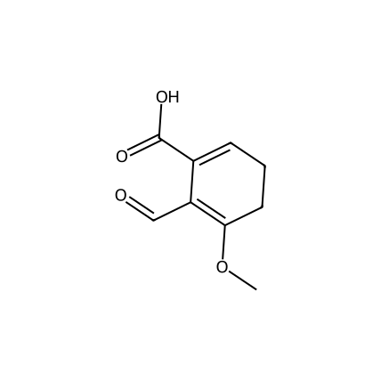 COC1=C(C=O)C(C(=O)O)=CCC1